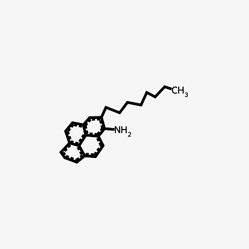 CCCCCCCCc1cc2ccc3cccc4ccc(c1N)c2c34